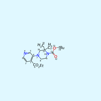 CCOC(=O)c1ccncc1N1CCN(C(=O)OC(C)(C)C)C(C)(C)C1